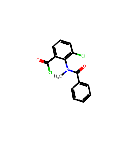 CN(C(=O)c1ccccc1)c1c(Cl)cccc1C(=O)Cl